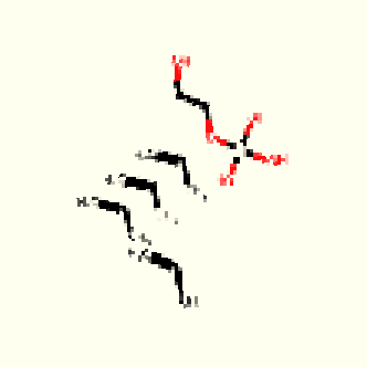 C=CC.C=CC.C=CC.C=CC.OCC[O][Ti]([OH])([OH])[OH]